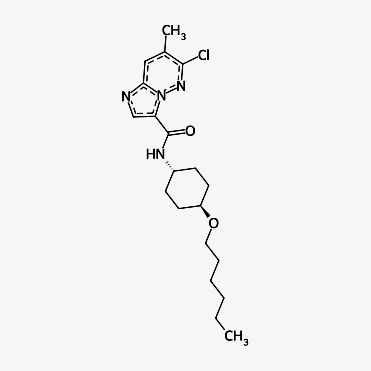 CCCCCCO[C@H]1CC[C@H](NC(=O)c2cnc3cc(C)c(Cl)nn23)CC1